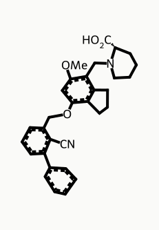 COc1cc(OCc2cccc(-c3ccccc3)c2C#N)c2c(c1CN1CCCC[C@H]1C(=O)O)CCC2